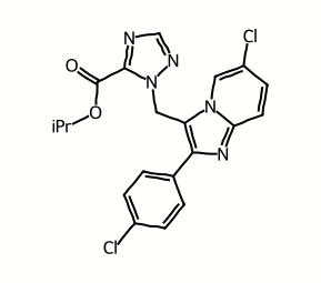 CC(C)OC(=O)c1ncnn1Cc1c(-c2ccc(Cl)cc2)nc2ccc(Cl)cn12